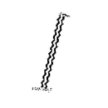 CCCCCCCCCCCCCCCCCCCCCCCCCCCCCCCCCCCC(=O)O.CCCCCCCCCCCCCCCCCCCCCCCCCCCCCCCCCCCC(=O)O